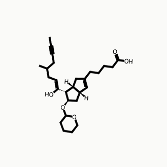 CC#CCC(C)CC=C(O)[C@@H]1[C@@H]2CC(CCCCC(=O)O)=C[C@@H]2C[C@H]1OC1CCCCO1